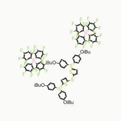 CC(C)COc1ccc([S+](c2ccc(OCC(C)C)cc2)c2ccc(Sc3ccc([S+](c4ccc(OCC(C)C)cc4)c4ccc(OCC(C)C)cc4)s3)s2)cc1.Fc1c(F)c(F)c([B-](c2c(F)c(F)c(F)c(F)c2F)(c2c(F)c(F)c(F)c(F)c2F)c2c(F)c(F)c(F)c(F)c2F)c(F)c1F.Fc1c(F)c(F)c([B-](c2c(F)c(F)c(F)c(F)c2F)(c2c(F)c(F)c(F)c(F)c2F)c2c(F)c(F)c(F)c(F)c2F)c(F)c1F